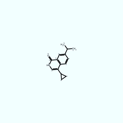 CC(C)c1ccc2c(C3CC3)c[nH]c(=O)c2c1